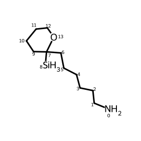 NCCCCCCC1([SiH3])CCCCO1